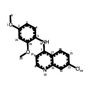 COc1ccc(Nc2ccnc3cc(Cl)ccc23)c(OC)c1